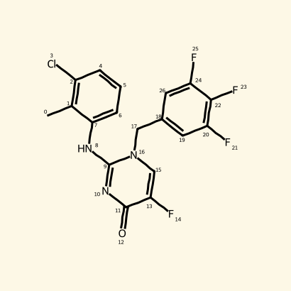 Cc1c(Cl)cccc1Nc1nc(=O)c(F)cn1Cc1cc(F)c(F)c(F)c1